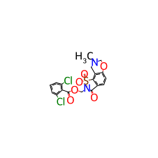 CN1COc2ccc3c(c2C1)S(=O)(=O)N(COC(=O)c1c(Cl)cccc1Cl)C3=O